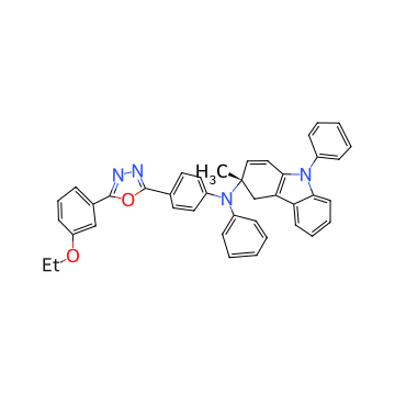 CCOc1cccc(-c2nnc(-c3ccc(N(c4ccccc4)[C@]4(C)C=Cc5c(c6ccccc6n5-c5ccccc5)C4)cc3)o2)c1